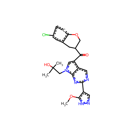 COc1[nH]ncc1-c1ncc2c(C(=O)C3COc4ccc(Cl)cc4C3)cn(CC(C)(C)O)c2n1